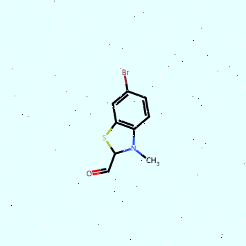 CN1c2ccc(Br)cc2SC1C=O